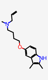 C=CCN(C)CCCCOc1ccc2[nH]c(C)c(C)c2c1